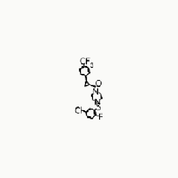 O=C(C1CC1c1ccc(C(F)(F)F)cc1)N1CCN(Sc2cc(Cl)ccc2F)CC1